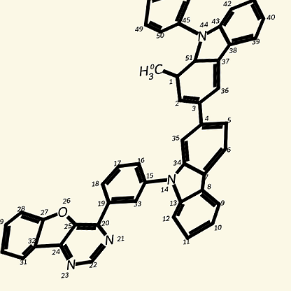 CC1C=C(c2ccc3c4ccccc4n(-c4cccc(-c5ncnc6c5oc5ccccc56)c4)c3c2)C=C2c3ccccc3N(c3ccccc3)C21